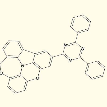 c1ccc(-c2nc(-c3ccccc3)nc(-c3cc4c5c(c3)c3cccc6c3n5-c3c(cccc3O4)OC6)n2)cc1